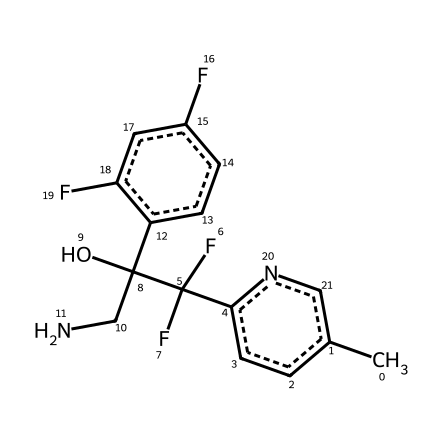 Cc1ccc(C(F)(F)C(O)(CN)c2ccc(F)cc2F)nc1